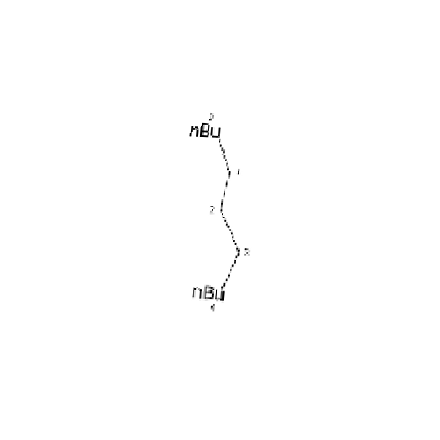 [C]CCCCCCCCCC